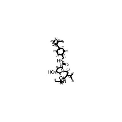 Cc1nnc(C(C(=O)N2C[C@H](O)C[C@H]2C(=O)NCc2ccc(-c3scnc3C)cc2)C(C)C)o1